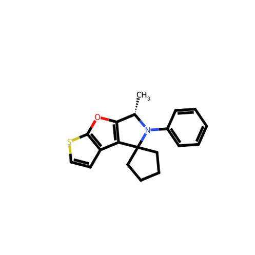 C[C@H]1c2oc3sccc3c2C2(CCCC2)N1c1ccccc1